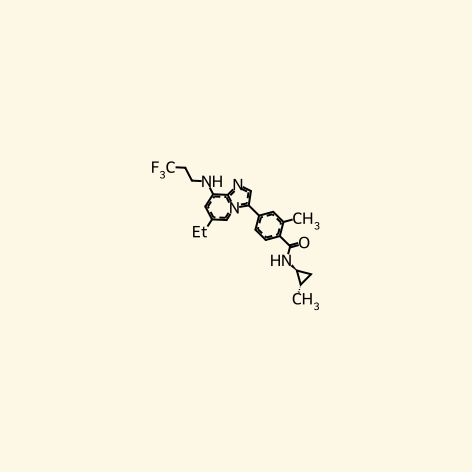 CCc1cc(NCCC(F)(F)F)c2ncc(-c3ccc(C(=O)N[C@H]4C[C@@H]4C)c(C)c3)n2c1